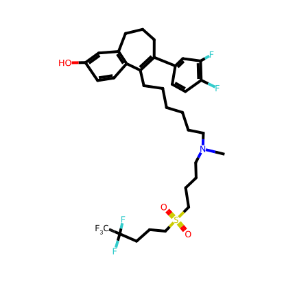 CN(CCCCCCC1=C(c2ccc(F)c(F)c2)CCCc2cc(O)ccc21)CCCCS(=O)(=O)CCCC(F)(F)C(F)(F)F